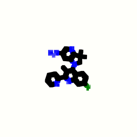 Cc1c(-c2ccccn2)nc2cc(F)ccc2c1N1CC(C)(C)c2ncc(N)cc21